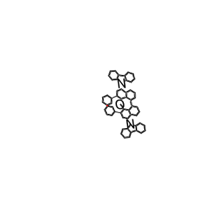 c1ccc(-c2cc(-n3c4ccccc4c4ccccc43)c3cccc4c5cccc6c(-n7c8ccccc8c8ccccc87)cc(-c7ccccc7)c(oc2c34)c65)cc1